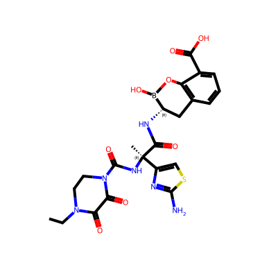 CCN1CCN(C(=O)N[C@@](C)(C(=O)N[C@H]2Cc3cccc(C(=O)O)c3OB2O)c2csc(N)n2)C(=O)C1=O